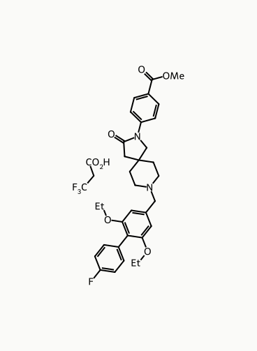 CCOc1cc(CN2CCC3(CC2)CC(=O)N(c2ccc(C(=O)OC)cc2)C3)cc(OCC)c1-c1ccc(F)cc1.O=C(O)CC(F)(F)F